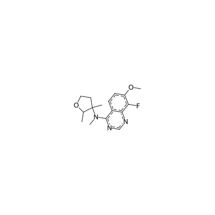 COc1ccc2c(N(C)C3(C)CCOC3C)ncnc2c1F